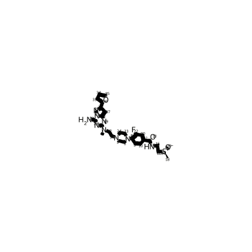 CN(CCN1CCN(c2ccc(C(=O)NCC[S@+](C)[O-])cc2F)CC1)c1nc(N)n2nc(-c3ccco3)cc2n1